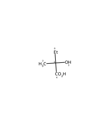 [CH2]CC(C)(O)C(=O)O